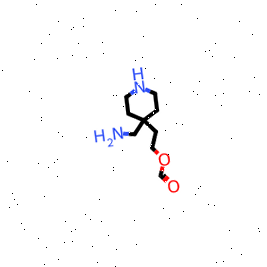 NCC1(CCOC=O)CCNCC1